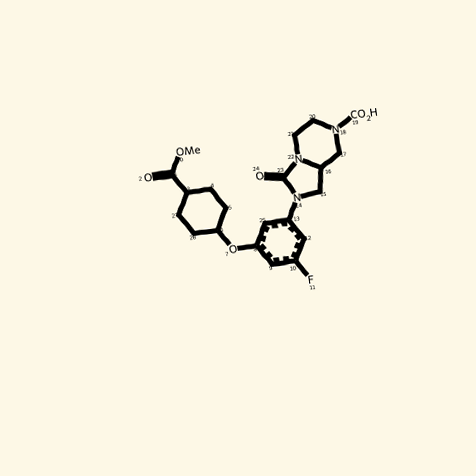 COC(=O)C1CCC(Oc2cc(F)cc(N3CC4CN(C(=O)O)CCN4C3=O)c2)CC1